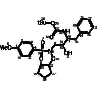 COc1ccc(S(=O)(=O)N(C[C@H](O)[C@H](Cc2ccccc2)NC(=O)OC(C)(C)C)OC2CCCC2)cc1